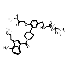 CNC(=O)COc1ccc(CNC(=O)OC(C)(C)C)cc1C1CCN(C(=O)c2cn(CCOC)c3c(C)cccc23)CC1